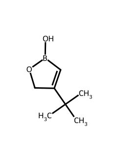 CC(C)(C)C1=CB(O)OC1